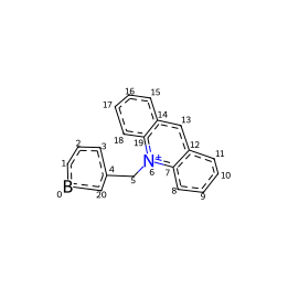 b1cccc(C[n+]2c3ccccc3cc3ccccc32)c1